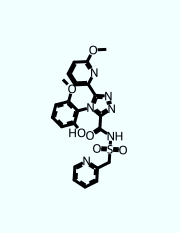 COC1=NC(c2nnc(C(=O)NS(=O)(=O)Cc3ccccn3)n2-c2c(O)cccc2OC)=C=C=C1